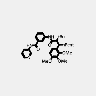 CCCCCC(c1ccc(OC)c(OC)c1OC)C(C(=O)Nc1cccc(C(=O)Nc2cccnc2)c1)C(C)(C)C